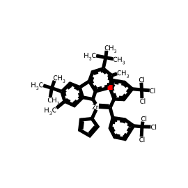 Cc1cc2c(cc1C(C)(C)C)-c1cc(C(C)(C)C)c(C)cc1[CH]2[Zr](=[C](c1cccc(C(Cl)(Cl)Cl)c1)c1cccc(C(Cl)(Cl)Cl)c1)[CH]1C=CC=C1